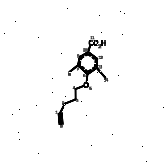 C#CCCCOc1c(C)cc(C(=O)O)cc1C